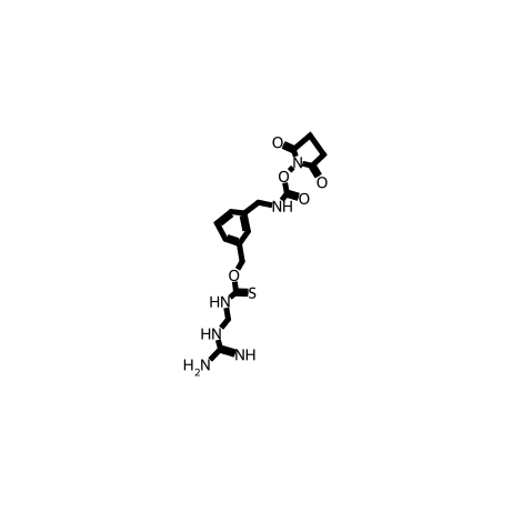 N=C(N)NCNC(=S)OCc1cccc(CNC(=O)ON2C(=O)CCC2=O)c1